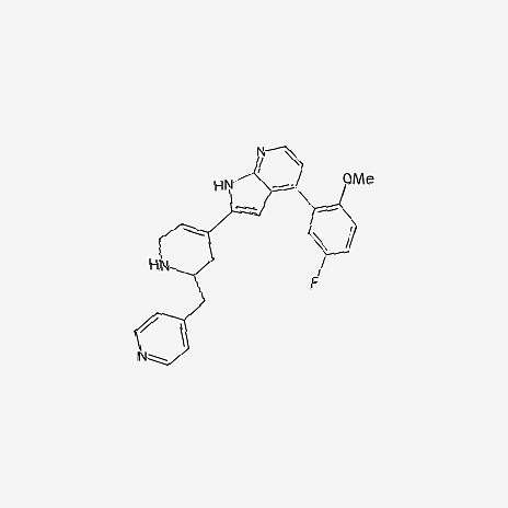 COc1ccc(F)cc1-c1ccnc2[nH]c(C3=CCNC(Cc4ccncc4)C3)cc12